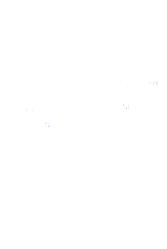 BBNCc1ccccc1CN(B)CC(C)=O